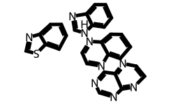 c1ccc2[nH]cnc2c1.c1ccc2nccnc2c1.c1ccc2scnc2c1.c1cnc2ncncc2n1